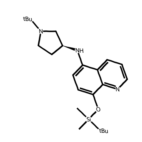 CC(C)(C)N1CC[C@H](Nc2ccc(O[Si](C)(C)C(C)(C)C)c3ncccc23)C1